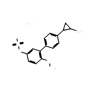 COc1ccc(NS(C)(=O)=O)cc1-c1ccc(C2CC2N)cc1.Cl